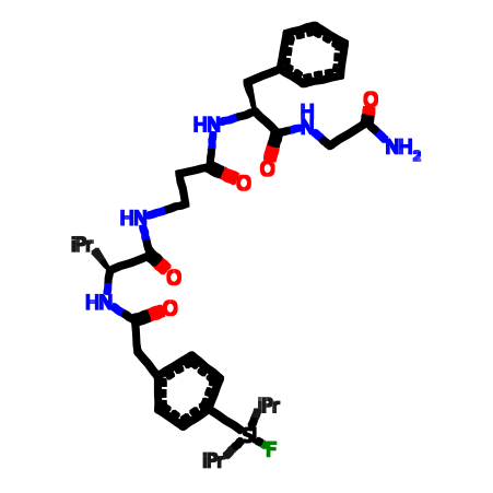 CC(C)[C@H](NC(=O)Cc1ccc([Si](F)(C(C)C)C(C)C)cc1)C(=O)NCCC(=O)N[C@@H](Cc1ccccc1)C(=O)NCC(N)=O